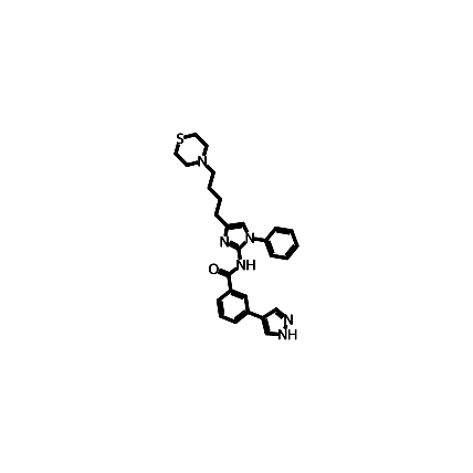 O=C(Nc1nc(CCCCN2CCSCC2)cn1-c1ccccc1)c1cccc(-c2cn[nH]c2)c1